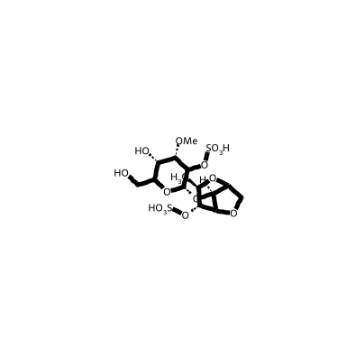 CO[C@@H]1C(OS(=O)(=O)O)[C@H](O[C@H]2C3COC2[C@H](OS(=O)(=O)O)[C@@H](C)O3)OC(CO)[C@@H]1O